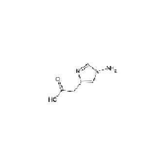 Nn1cnc(CC(=O)O)c1